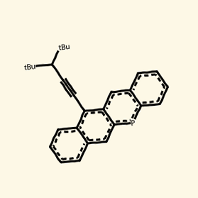 CC(C)(C)C(C#Cc1c2ccccc2cc2pc3ccccc3cc12)C(C)(C)C